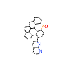 O=Pc1ccc(-c2ccc3cccnc3n2)c(-c2cccc3ccccc23)c1-c1cccc2ccccc12